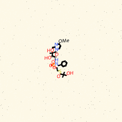 C=C1N=C(OC)C=CN1[C@@H]1O[C@H](COP(=O)(NCc2ccccc2)OCCSC(=O)C(C)(C)CO)[C@H](O)C1(C)O